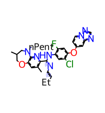 CC/C=C/N=C(/Nc1cc(Cl)c(Oc2ccn3ncnc3c2)cc1F)c1nc2c(cc1C)OCC(C)CN2CCCCC